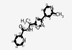 Cc1cc(-c2noc([C@H](C)NC(=O)c3ccccn3)n2)ccn1